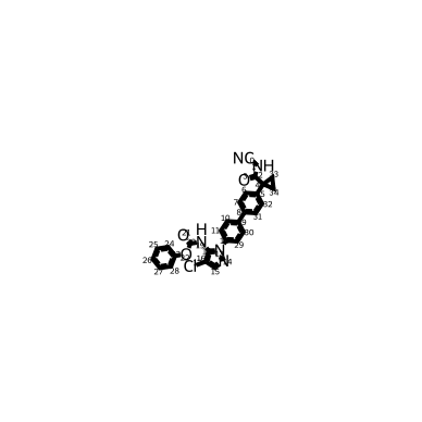 N#CNC(=O)C1(c2ccc(-c3ccc(-n4ncc(Cl)c4NC(=O)Oc4ccccc4)cc3)cc2)CC1